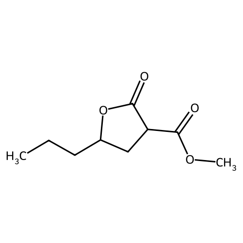 CCCC1CC(C(=O)OC)C(=O)O1